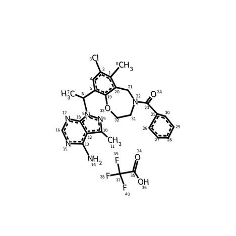 Cc1c(Cl)cc(C(C)n2nc(C)c3c(N)ncnc32)c2c1CN(C(=O)c1ccccc1)CCO2.O=C(O)C(F)(F)F